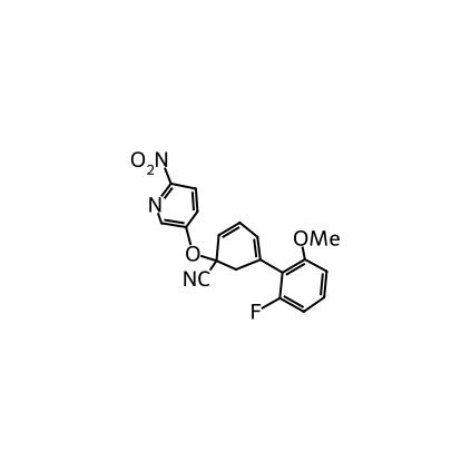 COc1cccc(F)c1C1=CC=CC(C#N)(Oc2ccc([N+](=O)[O-])nc2)C1